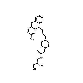 O=C(CN1CCN(CCCN2c3ccccc3Sc3ccc(C(F)(F)F)cc32)CC1)NCC(O)CO